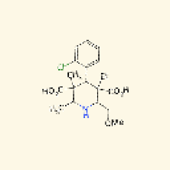 CCC1(C(=O)O)C(COC)NC(C)C(C)(C(=O)O)C1c1ccccc1Cl